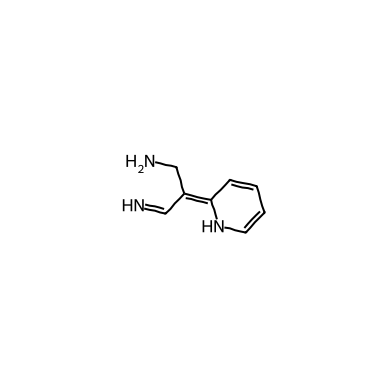 N=C/C(CN)=C1/C=CC=CN1